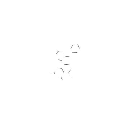 CCC(=O)Oc1c(-c2ccccc2)oc2cc(O)c(C(=O)CC)c(OC(=O)CC)c2c1=O